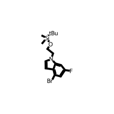 CC(C)(C)[Si](C)(C)OCCn1ccc2c(Br)cc(F)cc21